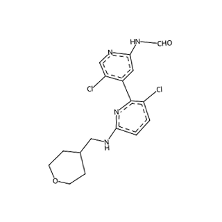 O=CNc1cc(-c2nc(NCC3CCOCC3)ccc2Cl)c(Cl)cn1